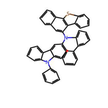 c1ccc(-c2ccccc2N(c2ccc3c(c2)c2ccccc2n3-c2ccccc2)c2cc3ccccc3c3sc4ccccc4c23)cc1